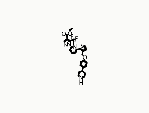 CCOC(=O)c1cnn(-c2cccc(-c3sccc3COc3ccc(C4CCNCC4)cc3)n2)c1C(F)(F)F